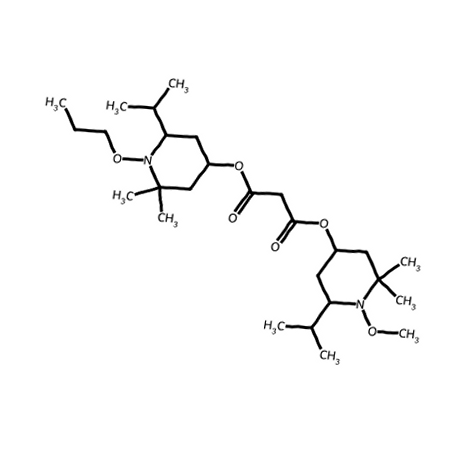 CCCON1C(C(C)C)CC(OC(=O)CC(=O)OC2CC(C(C)C)N(OC)C(C)(C)C2)CC1(C)C